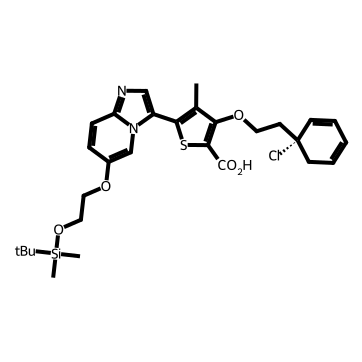 Cc1c(-c2cnc3ccc(OCCO[Si](C)(C)C(C)(C)C)cn23)sc(C(=O)O)c1OCC[C@@]1(Cl)C=CC=CC1